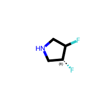 FC1CNC[C@H]1F